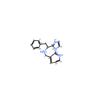 c1ccc(CC2NCc3cccnc3-n3ccnc32)cc1